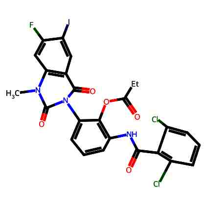 CCC(=O)Oc1c(NC(=O)c2c(Cl)cccc2Cl)cccc1-n1c(=O)c2cc(I)c(F)cc2n(C)c1=O